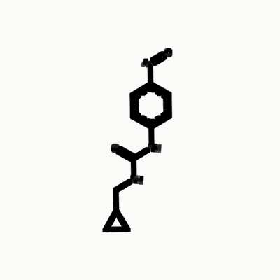 O=[As]c1ccc(NC(=O)NCC2CC2)cc1